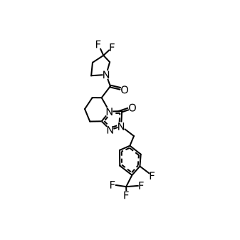 O=C(C1CCCc2nn(Cc3ccc(C(F)(F)F)c(F)c3)c(=O)n21)N1CCC(F)(F)C1